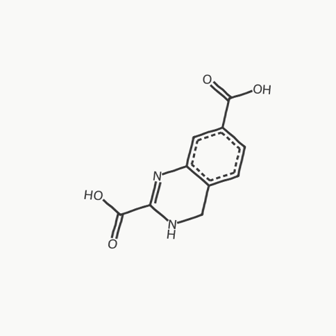 O=C(O)C1=Nc2cc(C(=O)O)ccc2CN1